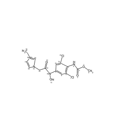 COC(=O)Nc1c(Cl)cc(N(O)C(=O)Cn2cc[n+](C)c2)cc1Cl